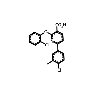 Cc1cc(-c2ccc(C(=O)O)c(Oc3ccccc3Cl)n2)ccc1Cl